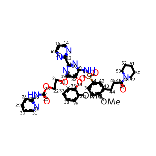 COc1ccc(S(=O)(=O)Nc2nc(-c3ncccn3)nc(OCCOC(=O)Nc3ccccn3)c2Oc2ccccc2OC)cc1CCC(=O)N1CCCCC1